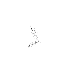 COc1ccc2c(c1)CCN(C1CCN(c3cc(C(=O)N4CCc5cc(F)ccc54)cc(=O)[nH]3)CC1)C(=O)N2